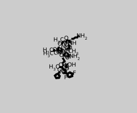 C[C@H](NC(=O)[C@H](CCCCN)NC(=O)OC(C)(C)C)C(=O)N[C@H](CC(=O)OC(C)(C)C)C(=O)N[C@@H](CC(N)=O)C(=O)NCCCN(C(=O)CO)[C@@H](c1cc(-c2cc(F)ccc2F)cn1Cc1ccccc1)C(C)(C)C